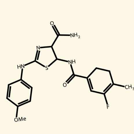 COc1ccc(NC2=NC(C(N)=O)C(NC(=O)C3=CC(F)=C(C)CC3)S2)cc1